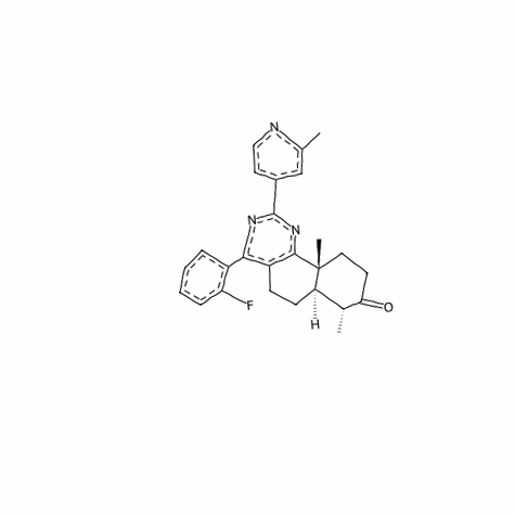 Cc1cc(-c2nc(-c3ccccc3F)c3c(n2)[C@]2(C)CCC(=O)[C@H](C)[C@H]2CC3)ccn1